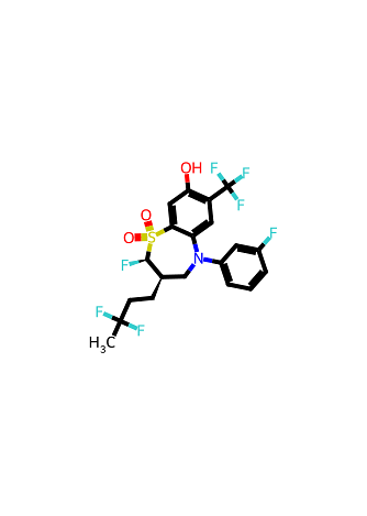 CC(F)(F)CC[C@@H]1CN(c2cccc(F)c2)c2cc(C(F)(F)F)c(O)cc2S(=O)(=O)[C@@H]1F